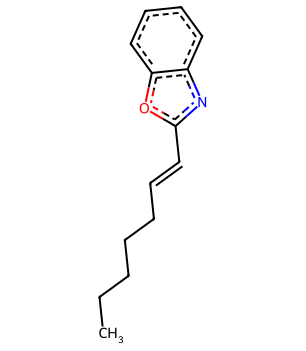 CCCCCC=Cc1nc2ccccc2o1